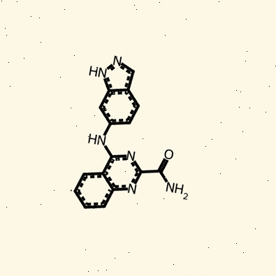 NC(=O)c1nc(Nc2ccc3cn[nH]c3c2)c2c[c]ccc2n1